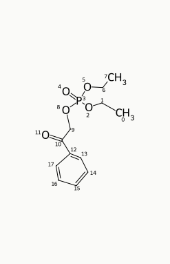 CCOP(=O)(OCC)OCC(=O)c1ccccc1